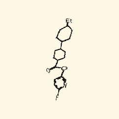 CCC1CCC(C2CCC(C(=O)Oc3ccc(F)nc3)CC2)CC1